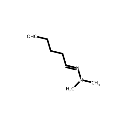 CN(C)N=CCCCC=O